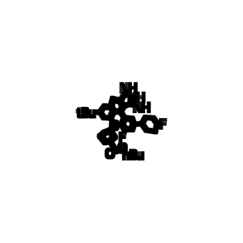 CCCCOC(=O)c1cccc(OC2=c3c(-c4cc(F)cc(C5CCC(F)CC5)c4)c4c(cc3=CC(C(C)(C)C)C2)C(=N)NC4=N)c1